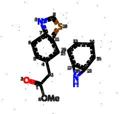 COC(=O)Cc1ccc2ncsc2c1.c1ccc2c(c1)N2